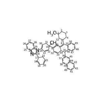 CC1CCCC(C2=C3C=C(C4(C)C=CC(n5c(C6C=CC=CC6)nc6ccccc65)=CC4)C=CC3C(c3ccc4ccccc4c3)c3ccccc32)C1